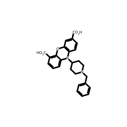 O=C(O)c1ccc2c(c1)Oc1c(C(=O)O)cccc1N2C1CCN(Cc2ccccc2)CC1